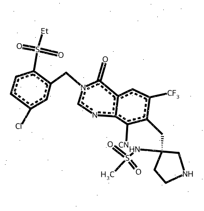 CCS(=O)(=O)c1ccc(Cl)cc1Cn1cnc2c(C#N)c(C[C@@]3(NS(C)(=O)=O)CCNC3)c(C(F)(F)F)cc2c1=O